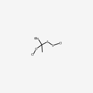 CC(C)(C)C(C)(OCl)SSCl